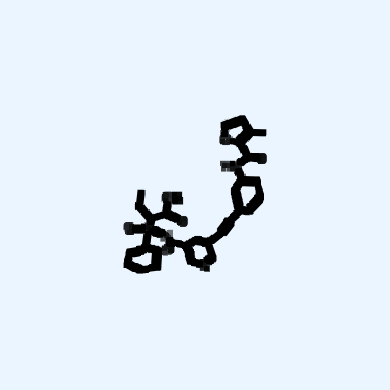 CCC(C(=O)O)S(=O)(=NC(=O)c1cncc(C#Cc2cccc(NC(=O)c3occc3C)c2)c1)c1ccccc1